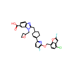 O=C(O)c1ccc2nc(CC3CC=C(c4ccc(F)c(OCc5ccc(Cl)c6cc(F)oc56)n4)CC3)n(CC3CCO3)c2c1